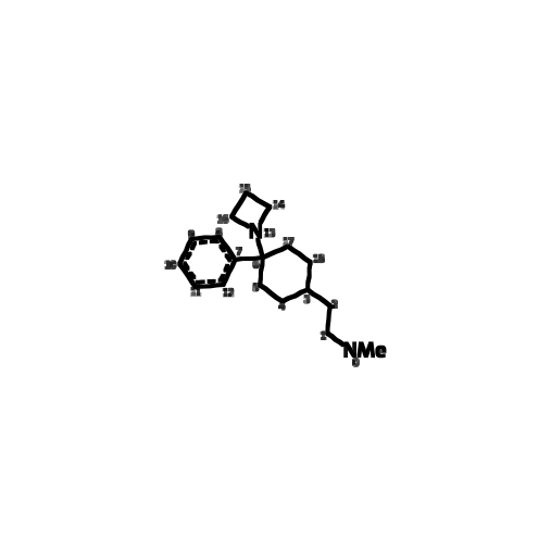 CNCCC1CCC(c2ccccc2)(N2CCC2)CC1